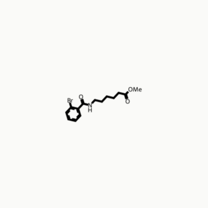 COC(=O)CCCCCNC(=O)c1ccccc1Br